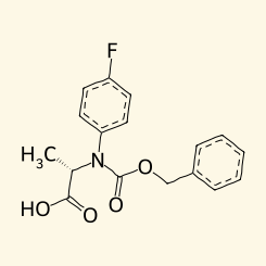 C[C@@H](C(=O)O)N(C(=O)OCc1ccccc1)c1ccc(F)cc1